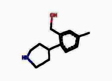 Cc1ccc(C2CCNCC2)c(CO)c1